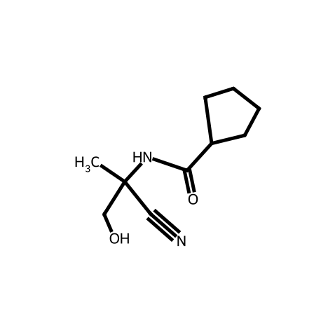 CC(C#N)(CO)NC(=O)C1CCCC1